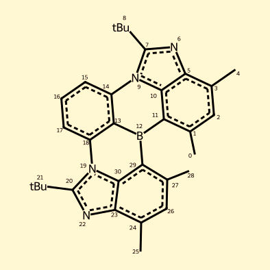 Cc1cc(C)c2nc(C(C)(C)C)n3c2c1B1c2c-3cccc2-n2c(C(C)(C)C)nc3c(C)cc(C)c1c32